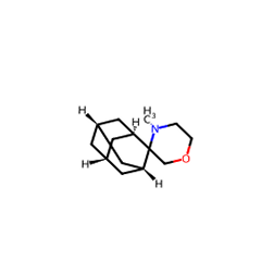 CN1CCOCC12[C@H]1C[C@H]3C[C@H](C1)C[C@H]2C3